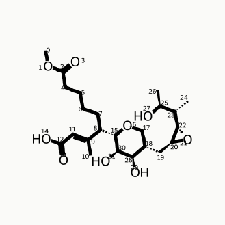 COC(=O)CCCCC(/C(C)=C/C(=O)O)[C@@H]1OC[C@H](C[C@@H]2O[C@H]2[C@@H](C)[C@H](C)O)[C@@H](O)[C@H]1O